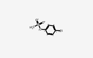 CCc1ccc(OS(C)(=O)=O)cc1